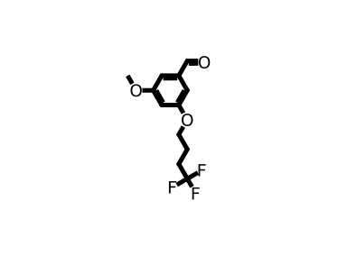 COc1cc(C=O)cc(OCCCC(F)(F)F)c1